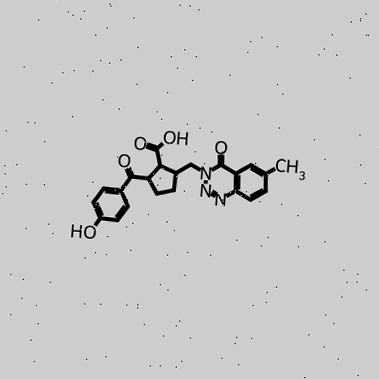 Cc1ccc2nnn(CC3CCC(C(=O)c4ccc(O)cc4)C3C(=O)O)c(=O)c2c1